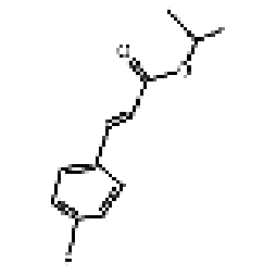 CC(C)OC(=O)C=Cc1ccc(F)cc1